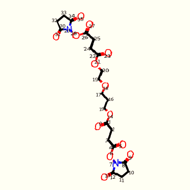 O=C(CCC(=O)ON1C(=O)CCC1=O)OCCCOCCOC(=O)CCC(=O)ON1C(=O)CCC1=O